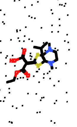 CCOC(=O)C(C(=O)O)=C1SC2N(C)CCN(C)C2(C(C)C)S1